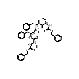 CC[C@H](NC(=O)OCc1ccccc1)C(=S)N[C@@H](Cc1ccccc1)[C@@H]1O[C@@H]1[C@H](Cc1ccccc1)NC(=S)[C@H](CC)NC(=O)OCc1ccccc1